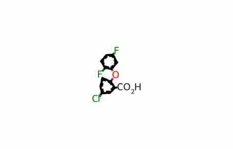 O=C(O)c1cc(Cl)ccc1Oc1cc(F)ccc1F